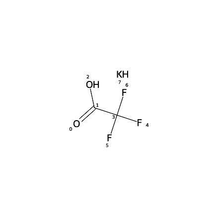 O=C(O)C(F)(F)F.[KH]